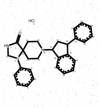 Cl.O=C1NCN(c2ccccc2)C12CCN(C1CC(c3ccccc3)c3ccccc31)CC2